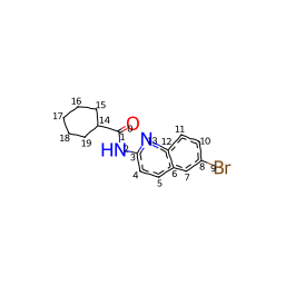 O=C(Nc1ccc2cc(Br)ccc2n1)C1CCCCC1